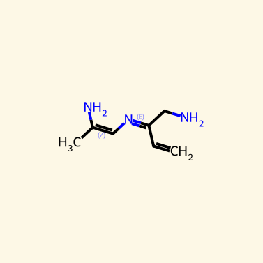 C=C/C(CN)=N\C=C(\C)N